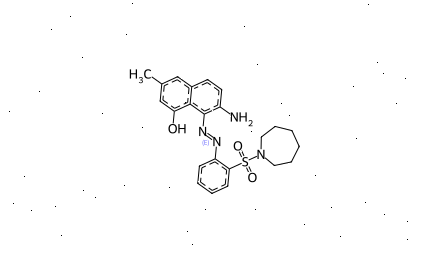 Cc1cc(O)c2c(/N=N/c3ccccc3S(=O)(=O)N3CCCCCC3)c(N)ccc2c1